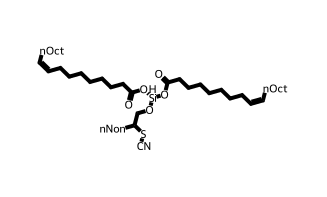 CCCCCCCC/C=C\CCCCCCCC(=O)O[SiH](OCC(CCCCCCCCC)SC#N)OC(=O)CCCCCCC/C=C\CCCCCCCC